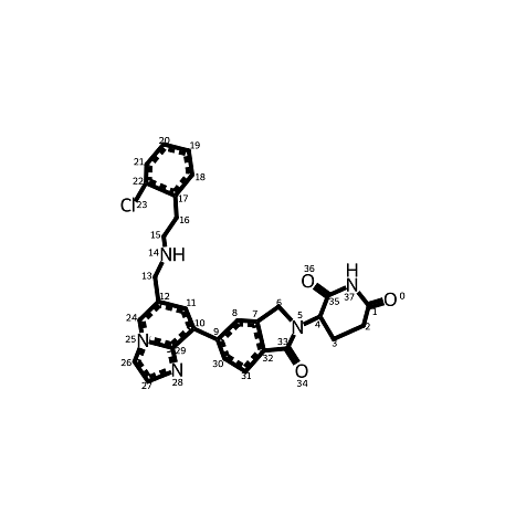 O=C1CCC(N2Cc3cc(-c4cc(CNCCc5ccccc5Cl)cn5ccnc45)ccc3C2=O)C(=O)N1